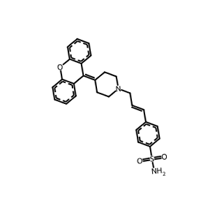 NS(=O)(=O)c1ccc(C=CCN2CCC(=C3c4ccccc4Oc4ccccc43)CC2)cc1